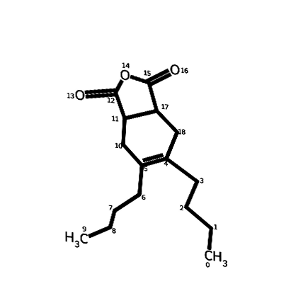 CCCCC1=C(CCCC)CC2C(=O)OC(=O)C2C1